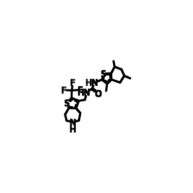 Cc1c(NC(=O)NCc2c(C(F)(F)F)sc3c2CCNCC3)sc2c1CC(C)CC2C